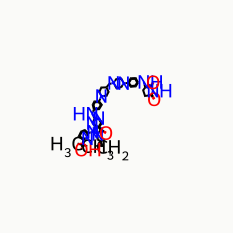 C=CCn1c(=O)c2cnc(Nc3ccc(N4CCC(CN5CCN(c6ccc(NC7CCC(=O)NC7=O)cc6)CC5)CC4)cc3)nc2n1-c1cccc(C(C)(C)O)n1